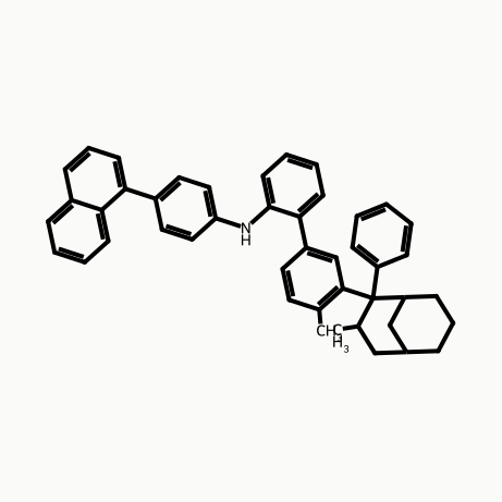 Cc1ccc(-c2ccccc2Nc2ccc(-c3cccc4ccccc34)cc2)cc1C1(c2ccccc2)C(C)CC2CCCC1C2